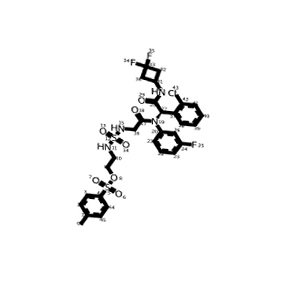 Cc1ccc(S(=O)(=O)OCCNS(=O)(=O)NCC(=O)N(c2cccc(F)c2)[C@@H](C(=O)NC2CC(F)(F)C2)c2ccccc2Cl)cc1